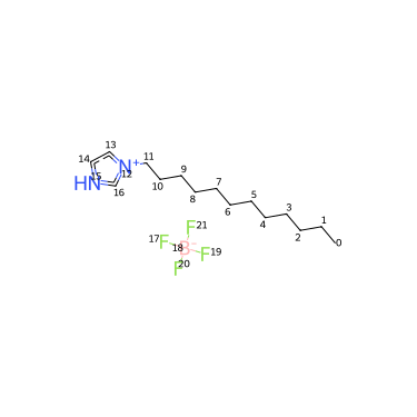 CCCCCCCCCCCC[n+]1cc[nH]c1.F[B-](F)(F)F